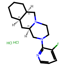 Cl.Cl.Fc1cccnc1N1CCN2C[C@@H]3CCCC[C@@H]3C[C@@H]2C1